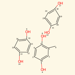 Cc1cc(O)ccc1O.Oc1ccc(O)cc1.Oc1ccc(O)cc1